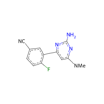 CNc1cc(-c2cc(C#N)ccc2F)nc(N)n1